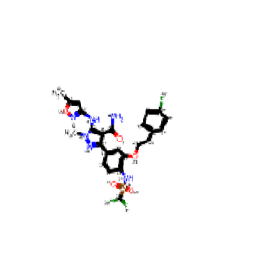 Cc1cc(Nc2c(C(N)=O)c(-c3ccc(NS(=O)(=O)C(F)F)c(OCCc4ccc(F)cc4)c3)nn2C)no1